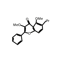 COc1c(-c2ccccc2)oc2ccc(C(C)C)c(OC)c2c1=O